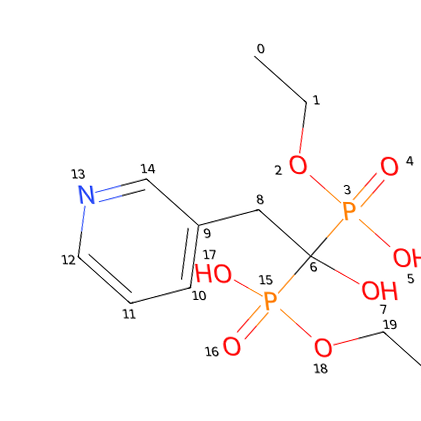 CCOP(=O)(O)C(O)(Cc1cccnc1)P(=O)(O)OCC